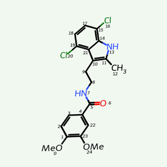 COc1ccc(C(=O)NCCc2c(C)[nH]c3c(Cl)ccc(Cl)c23)cc1OC